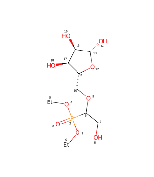 CCOP(=O)(OCC)C(CO)OC[C@H]1O[C@@H](O)[C@H](O)[C@@H]1O